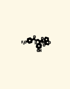 O=C(NCC(C(=O)NC12CCCC1OCC2=O)c1ccc(O)cc1)c1ccc(C(F)(F)F)cc1